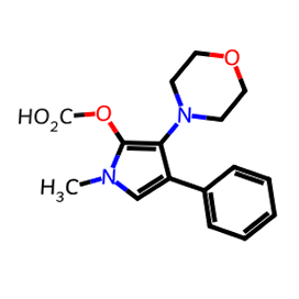 Cn1cc(-c2ccccc2)c(N2CCOCC2)c1OC(=O)O